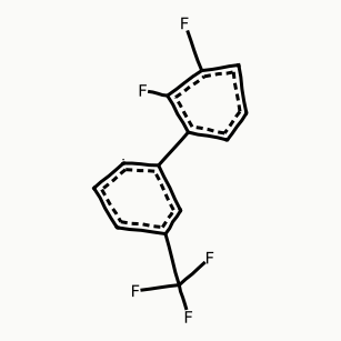 Fc1cccc(-c2[c]ccc(C(F)(F)F)c2)c1F